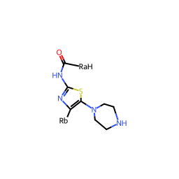 O=[C]([RaH])Nc1n[c]([Rb])c(N2CCNCC2)s1